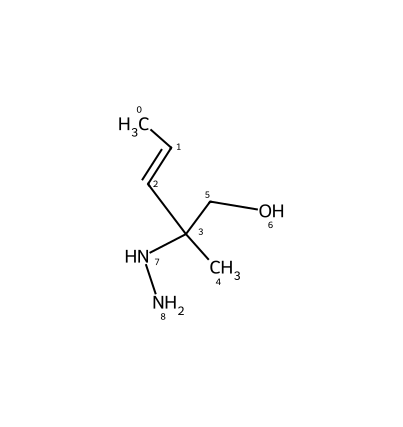 CC=CC(C)(CO)NN